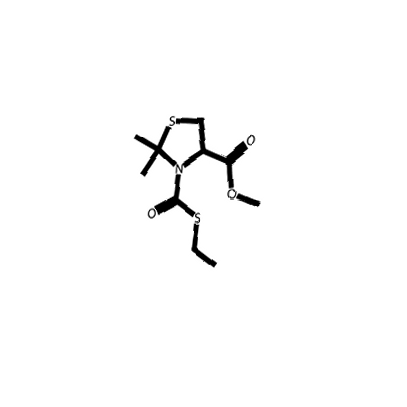 CCSC(=O)N1C(C(=O)OC)CSC1(C)C